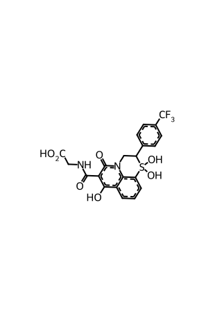 O=C(O)CNC(=O)c1c(O)c2cccc3c2n(c1=O)CC(c1ccc(C(F)(F)F)cc1)S3(O)O